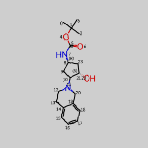 CC(C)(C)OC(=O)N[C@@H]1CC(N2CCc3ccccc3C2)[C@@H](O)C1